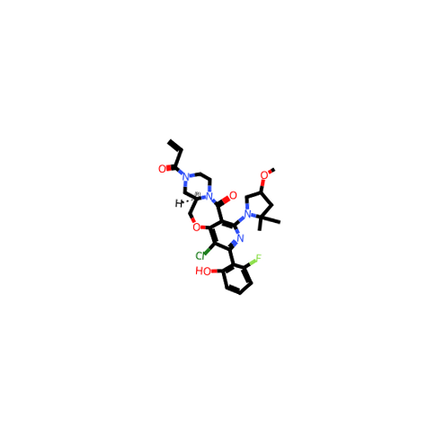 C=CC(=O)N1CCN2C(=O)c3c(N4CC(OC)CC4(C)C)nc(-c4c(O)cccc4F)c(Cl)c3OC[C@H]2C1